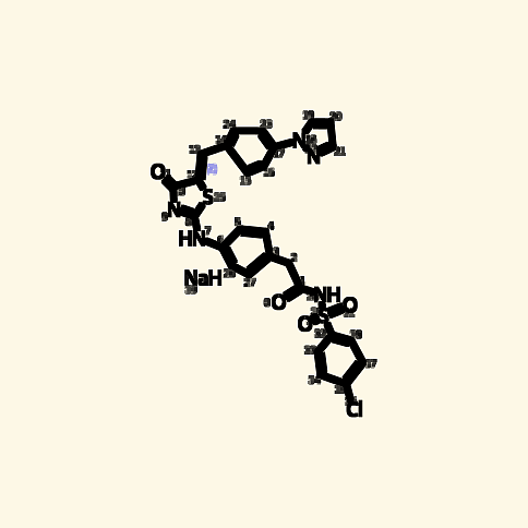 O=C(Cc1ccc(NC2=NC(=O)/C(=C/c3ccc(-n4cccn4)cc3)S2)cc1)NS(=O)(=O)c1ccc(Cl)cc1.[NaH]